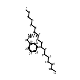 CCCCCCCCCCCCCCCCCC.CNCc1ccccc1